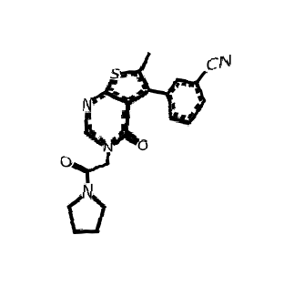 Cc1sc2ncn(CC(=O)N3CCCC3)c(=O)c2c1-c1cccc(C#N)c1